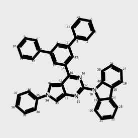 c1ccc(-c2cc(-c3ccccc3)cc(-c3nc(-n4c5ccccc5c5ccccc54)nc4cn(-c5ccccc5)cc34)c2)cc1